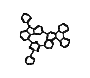 c1ccc(-c2nc(-c3ccccc3)nc(-c3cccc4c3c3cc(-c5ccc6c7ccccc7c7ccccc7c6c5)ccc3n4-c3ccccc3)n2)cc1